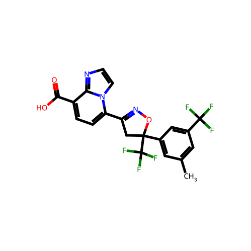 Cc1cc(C(F)(F)F)cc(C2(C(F)(F)F)CC(c3ccc(C(=O)O)c4nccn34)=NO2)c1